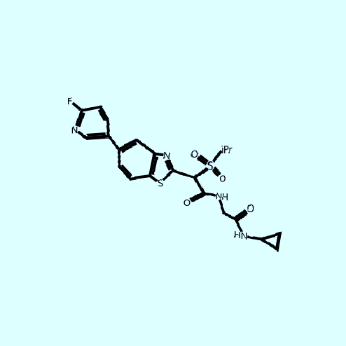 CC(C)S(=O)(=O)C(C(=O)NCC(=O)NC1CC1)c1nc2cc(-c3ccc(F)nc3)ccc2s1